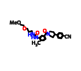 COCCOCCCNC(=O)Nc1cc(C(=O)N2CCC(c3ccc(C#N)cc3)CC2)ccc1C